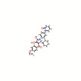 COc1ccc(C(=O)C2=C(O)C(=O)N(c3ccc(-c4cccc[n+]4[O-])cc3)C2C2CCCCC2)cc1